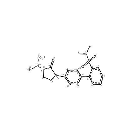 CN(C)S(=O)(=O)c1ccccc1-c1ccc(N2CC[C@H](N(C(=O)O)C(C)(C)C)C2=O)nc1